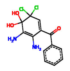 NC1=C(N)C(O)(O)C(Cl)(Cl)C=C1C(=O)c1ccccc1